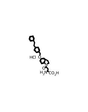 Cl.NC(CC(=O)N1CCc2cc(OCc3ccc(CCc4ccccc4)cc3)ccc21)C(=O)O